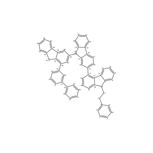 c1ccc(CCC2c3ccccc3-c3c(-c4ccc5c6ccccc6n(-c6cc(-c7cccc(-c8ccccc8)c7)c7sc8ccccc8c7c6)c5c4)cccc32)cc1